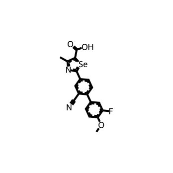 COc1ccc(-c2ccc(-c3nc(C)c(C(=O)O)[se]3)cc2C#N)cc1F